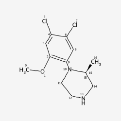 COc1cc(Cl)c(Cl)cc1N1CCNC[C@@H]1C